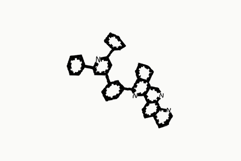 c1ccc(-c2cc(-c3cccc(-c4nc5c(cnc6c5ccc5cccnc56)c5ccccc45)c3)cc(-c3ccccc3)n2)cc1